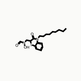 CCCCCCCCCN1C(=O)C(CN(O)C=O)Sc2ccccc21